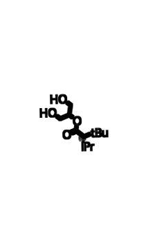 CC(C)[C@H](C(=O)OC(CO)CO)C(C)(C)C